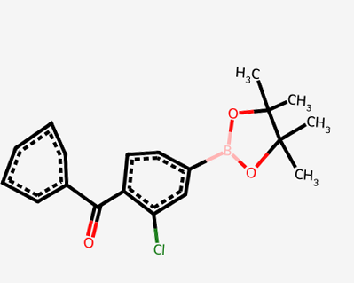 CC1(C)OB(c2ccc(C(=O)c3ccccc3)c(Cl)c2)OC1(C)C